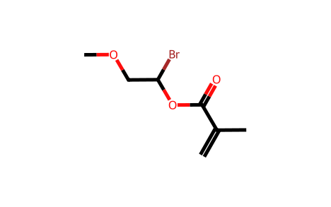 C=C(C)C(=O)OC(Br)COC